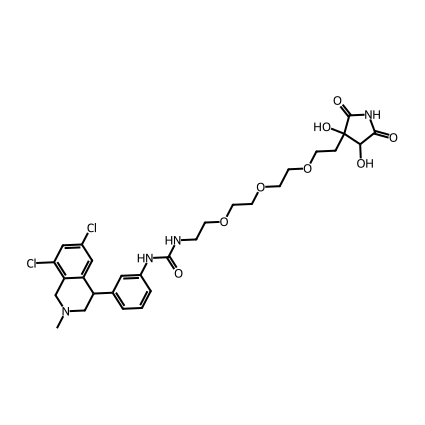 CN1Cc2c(Cl)cc(Cl)cc2C(c2cccc(NC(=O)NCCOCCOCCOCCC3(O)C(=O)NC(=O)C3O)c2)C1